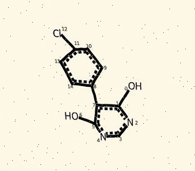 Oc1ncnc(O)c1-c1ccc(Cl)cc1